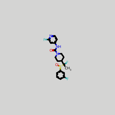 CC(F)(C1CCN(C(=O)Nc2ccnc(F)c2)CC1)[S+]([O-])c1cccc(F)c1